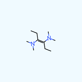 CCC(=C(CC)N(C)C)N(C)C